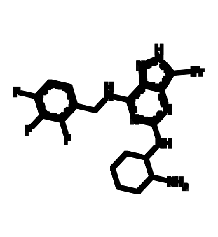 CC(C)c1[nH]nc2c(NCc3ccc(F)c(F)c3F)nc(NC3CCCCC3N)nc12